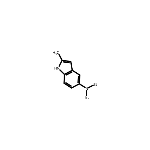 CCN(CC)c1ccc2[nH]c(C)cc2c1